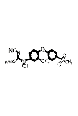 CSC(=NC#N)N(Cl)c1ccc(Oc2ccc(S(C)(=O)=O)cc2)c(C(F)(F)F)c1